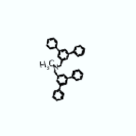 CN(Cc1cc(-c2ccccc2)cc(-c2ccccc2)c1)Cc1cc(-c2ccccc2)cc(-c2ccccc2)c1